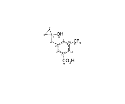 O=C(O)c1cc(CC2(O)CC2)cc(C(F)(F)F)c1